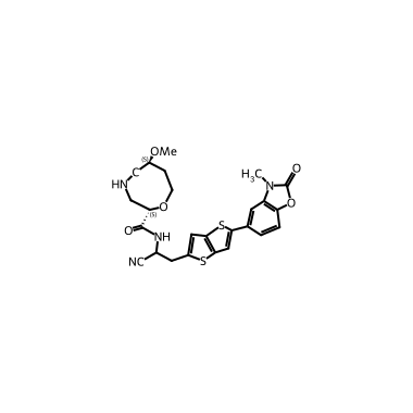 CO[C@H]1CCO[C@H](C(=O)NC(C#N)Cc2cc3sc(-c4ccc5oc(=O)n(C)c5c4)cc3s2)CNC1